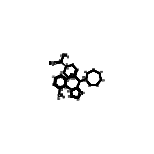 C=C(C)[C@@H]1CC=C(C(c2ncnn2-c2c(C)cccc2C)N2CCCCCC2)CC1